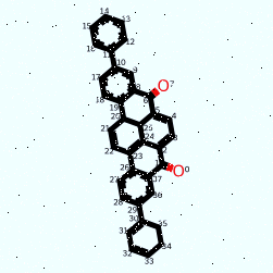 O=C1C2=CC=C3C(=O)c4cc(-c5ccccc5)ccc4C4C=CC(=C2C34)c2ccc(C3=CC=CCC3)cc21